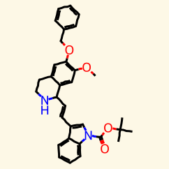 COc1cc2c(cc1OCc1ccccc1)CCNC2/C=C/c1cn(C(=O)OC(C)(C)C)c2ccccc12